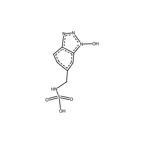 O=S(=O)(O)N[CH]c1ccc2nnn(O)c2c1